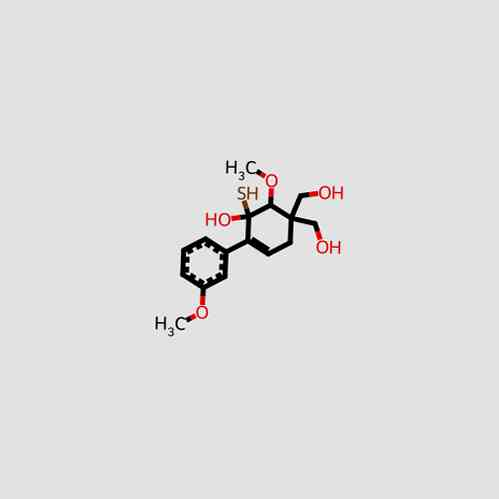 COc1cccc(C2=CCC(CO)(CO)C(OC)C2(O)S)c1